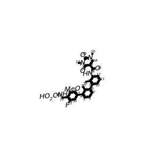 COc1cc(-c2cccc(-c3cccc(NC(=O)c4cn(C)c(=O)n(C)c4=O)c3C)c2C)cc(F)c1CNC(=O)O